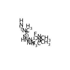 Cc1nc2c(F)cc(-c3nc(Nc4ccc([C@H](C)N5CCC6(CCNC6)C5)cn4)ncc3F)cc2n1C(C)C